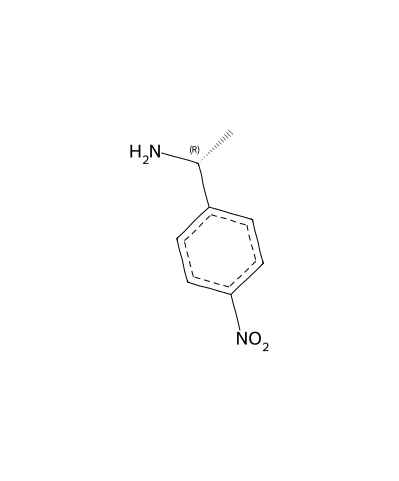 C[C@@H](N)c1ccc([N+](=O)[O-])cc1